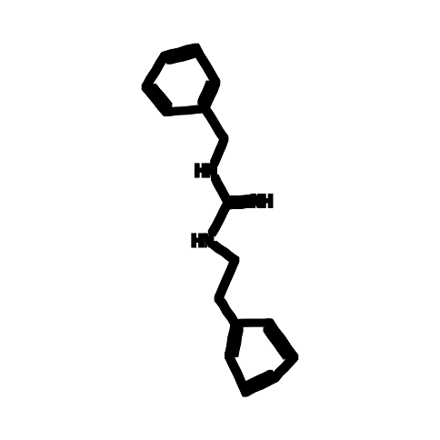 N=C(NCCc1ccccc1)NCc1ccccc1